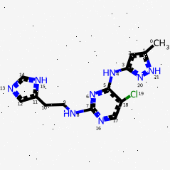 Cc1cc(Nc2nc(NCCc3cnc[nH]3)ncc2Cl)n[nH]1